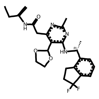 C=C(CC)NC(=O)Cc1nc(C)nc(N[C@H](C)c2cccc3c2CCC3(F)F)c1C1OCCO1